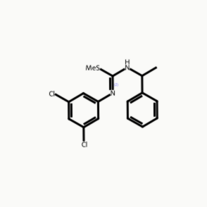 CS/C(=N\c1cc(Cl)cc(Cl)c1)NC(C)c1ccccc1